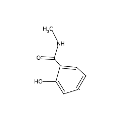 CNC(=O)c1cc[c]cc1O